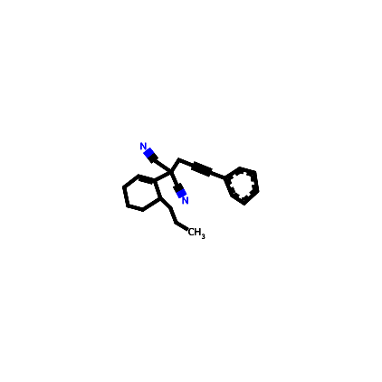 CCCC1CCCC=C1C(C#N)(C#N)CC#Cc1ccccc1